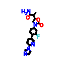 CC(C(N)=O)C1CN(c2ccc(-c3ccc(-n4ccnc4)nc3)c(F)c2)C(=O)O1